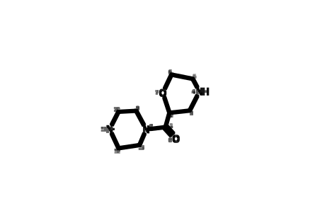 O=C(C1CNCCO1)N1CC[N]CC1